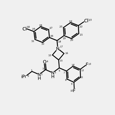 CC(C)CNC(=O)NC(c1cc(F)cc(F)c1)C1CN(C(c2ccc(Cl)cc2)c2ccc(Cl)cc2)C1